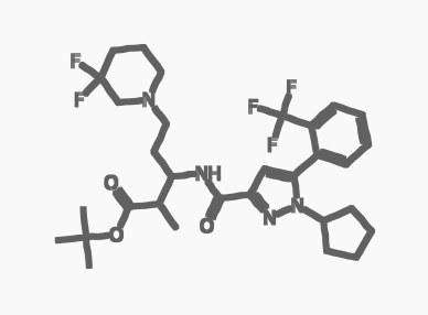 CC(C(=O)OC(C)(C)C)C(CCN1CCCC(F)(F)C1)NC(=O)c1cc(-c2ccccc2C(F)(F)F)n(C2CCCC2)n1